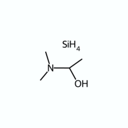 CC(O)N(C)C.[SiH4]